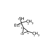 CC[C@](C)(S)C1SC1C